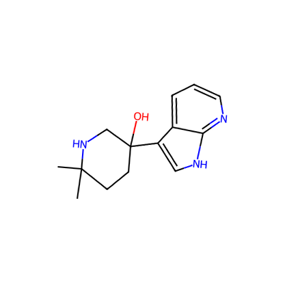 CC1(C)CCC(O)(c2c[nH]c3ncccc23)CN1